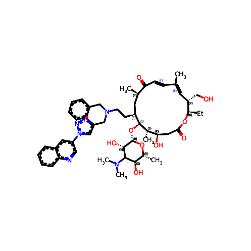 CC[C@H]1OC(=O)C[C@@H](O)[C@H](C)[C@@H](O[C@@H]2O[C@H](C)[C@@H](O)C(N(C)C)[C@@H]2O)[C@@H](CCN(Cc2ccccc2)Cc2cn(-c3cnc4ccccc4c3)nn2)C[C@@H](C)C(=O)/C=C/C(C)=C/[C@@H]1CO